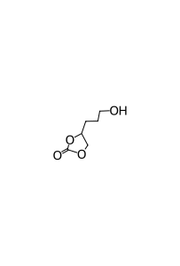 O=C1OCC(CCCO)O1